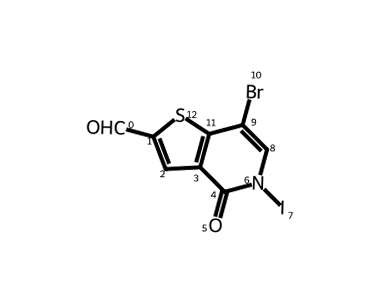 O=Cc1cc2c(=O)n(I)cc(Br)c2s1